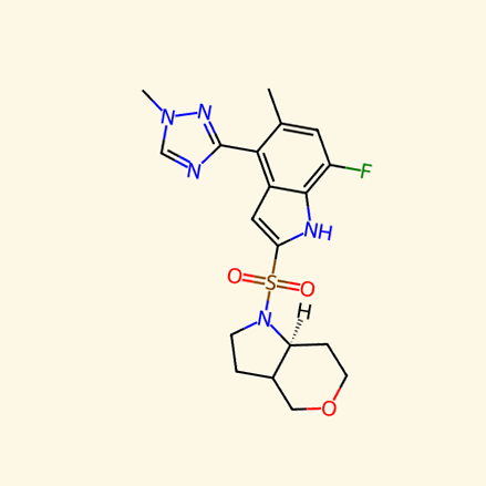 Cc1cc(F)c2[nH]c(S(=O)(=O)N3CCC4COCC[C@@H]43)cc2c1-c1ncn(C)n1